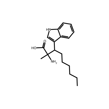 CCCCCCC(c1c[nH]c2ccccc12)C(C)(N)C(=O)O